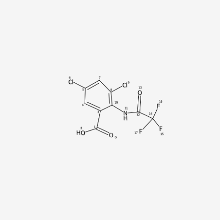 O=C(O)c1cc(Cl)cc(Cl)c1NC(=O)C(F)(F)F